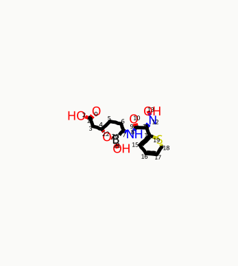 O=C(O)CC1CCC(NC(=O)/C(=N\O)C2=CC=CCS2)B(O)O1